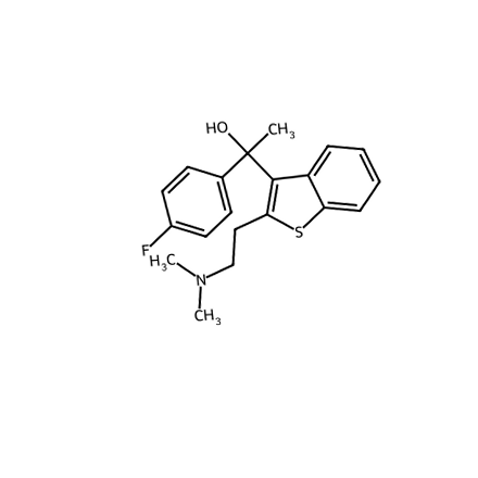 CN(C)CCc1sc2ccccc2c1C(C)(O)c1ccc(F)cc1